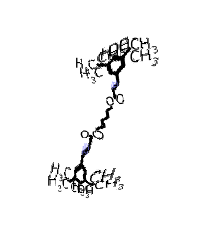 CC(C)(C)c1cc(/C=C/C(=O)OCCCCCCOC(=O)/C=C/c2cc(C(C)(C)C)c(O)c(C(C)(C)C)c2)cc(C(C)(C)C)c1O